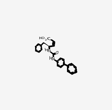 O=C(O)/C=C\[C@H](Cc1ccccc1)NC(=O)Nc1ccc(-c2ccccc2)cc1